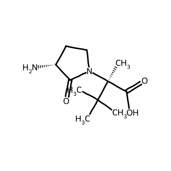 CC(C)(C)[C@](C)(C(=O)O)N1CC[C@@H](N)C1=O